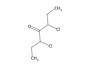 CC[C](Cl)C(=O)C(Cl)CC